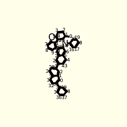 CC1C=Cc2oc3ccccc3c2C1N(c1ccccc1)c1ccc2cc(-c3ccc4ccc(-c5ccccc5)cc4c3)ccc2c1